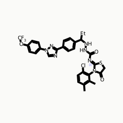 CCC(NNC(=O)/N=C1\SCC(=O)N1c1c(Cl)ccc(C)c1C)c1ccc(-c2ncn(-c3ccc(OC(F)(F)F)cc3)n2)cc1